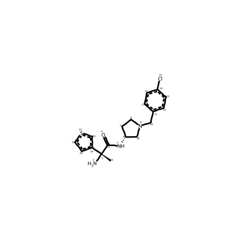 C[C@](N)(C(=O)N[C@@H]1CCN(Cc2ccc(Cl)cc2)C1)c1ccsc1